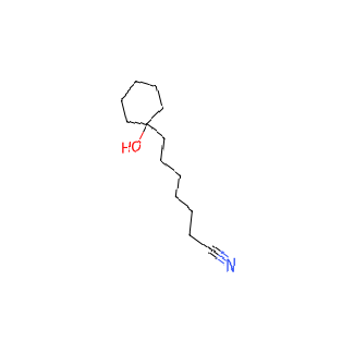 N#CCCCCCCC1(O)CCCCC1